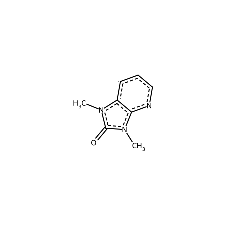 Cn1c(=O)n(C)c2ncc[c]c21